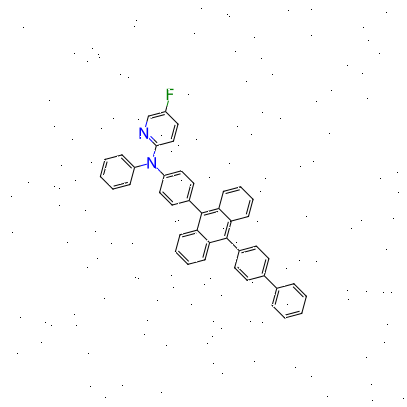 Fc1ccc(N(c2ccccc2)c2ccc(-c3c4ccccc4c(-c4ccc(-c5ccccc5)cc4)c4ccccc34)cc2)nc1